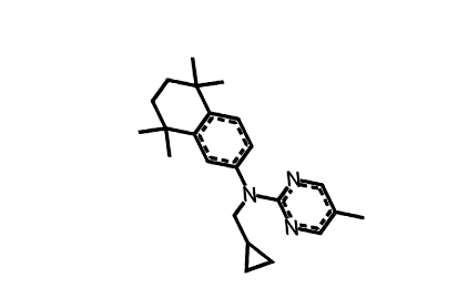 Cc1cnc(N(CC2CC2)c2ccc3c(c2)C(C)(C)CCC3(C)C)nc1